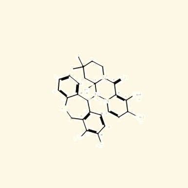 CC1(C)CCN2C(=O)C3=C(O)C(O)C=CN3N([C@@H]3c4ccccc4SCc4c3ccc(F)c4F)[C@@H]2C1